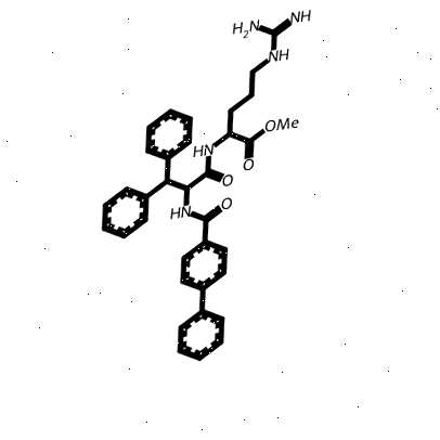 COC(=O)C(CCCNC(=N)N)NC(=O)C(NC(=O)c1ccc(-c2ccccc2)cc1)C(c1ccccc1)c1ccccc1